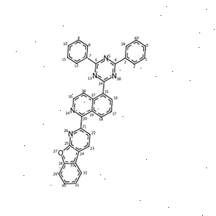 c1ccc(-c2nc(-c3ccccc3)nc(-c3cccc4c(-c5ccc6c(n5)oc5ccccc56)nccc34)n2)cc1